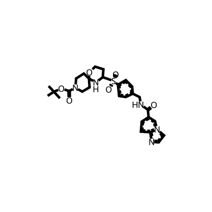 CC(C)(C)OC(=O)N1CCC2(CC1)NC(S(=O)(=O)c1ccc(CNC(=O)c3ccc4nccn4c3)cc1)CCO2